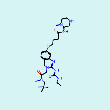 CCNC(=O)NC1=Nc2cc(OCCCC(=O)NC3CNCCN3C)ccc2CN1CC(=O)N(C)CC(C)(C)C